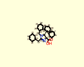 O=C(O)[C@@]1(c2ccccc2)N=C(Cc2ccccc2)N(Cc2ccccc2)[C@H]1c1ccccc1